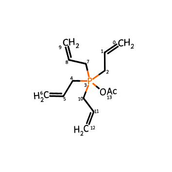 C=CCP(CC=C)(CC=C)(CC=C)OC(C)=O